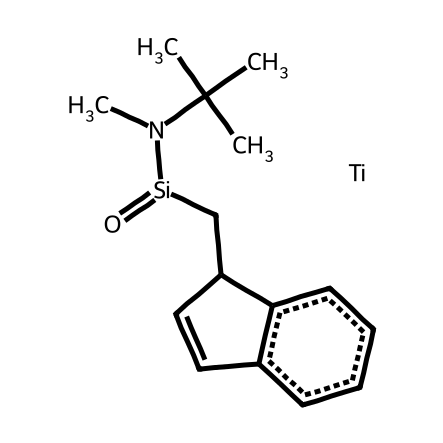 CN([Si](=O)CC1C=Cc2ccccc21)C(C)(C)C.[Ti]